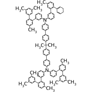 Cc1cc(C)cc(-c2ccc(C)cc2-c2cccc(N(c3ccc(-c4ccc(C(C)(C)c5ccc(-c6ccc(N(c7cccc(-c8cc(C)ccc8-c8cc(C)cc(C)c8)c7)c7cccc(-c8cc(C)ccc8-c8cc(C)cc(C)c8)c7)cc6)cc5)cc4)cc3)c3cccc(-c4cc(C)ccc4C4=CCCC=C4)c3)c2)c1